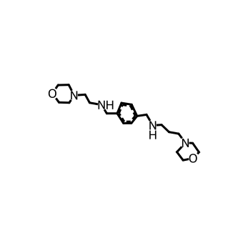 c1cc(CNCCN2CCOCC2)ccc1CNCCCN1CCOCC1